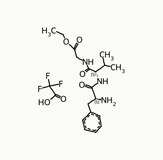 CCOC(=O)CNC(=O)[C@@H](NC(=O)[C@@H](N)Cc1ccccc1)C(C)C.O=C(O)C(F)(F)F